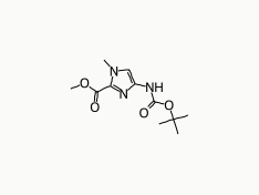 COC(=O)c1nc(NC(=O)OC(C)(C)C)cn1C